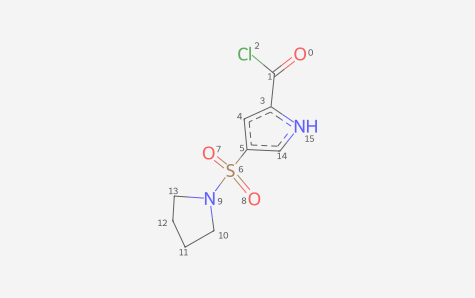 O=C(Cl)c1cc(S(=O)(=O)N2CCCC2)c[nH]1